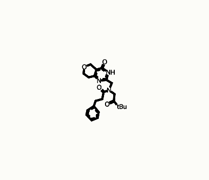 CC(C)(C)C(=O)CN(Cc1nc2c(c(=O)[nH]1)COCC2)C(=O)CCc1ccccc1